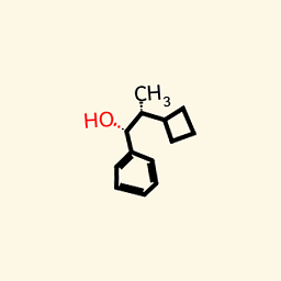 C[C@H](C1CCC1)[C@@H](O)c1ccccc1